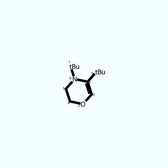 CC(C)(C)C1=COCCN1C(C)(C)C